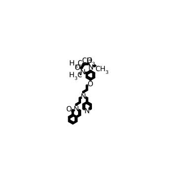 CCN1C(=O)C(C)(C)C(=O)N(C)c2cc(OCCCN(CCCn3ccc4ccccc4c3=O)Cc3ccncc3)ccc21